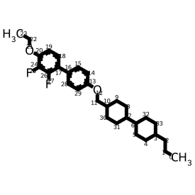 CCCC1CCC(C2CCC(COc3ccc(-c4ccc(OCC)c(F)c4F)cc3)CC2)CC1